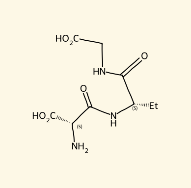 CC[C@H](NC(=O)[C@H](N)C(=O)O)C(=O)NCC(=O)O